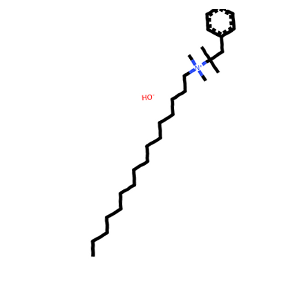 CCCCCCCCCCCCCCCC[N+](C)(C)C(C)(C)Cc1ccccc1.[OH-]